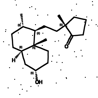 C[C@H]1CC[C@@H]2C[C@@H](O)CC[C@@]2(C)[C@@H]1CC[C@]1(C)CCCC1=O